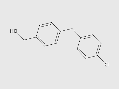 OCc1ccc(Cc2ccc(Cl)cc2)cc1